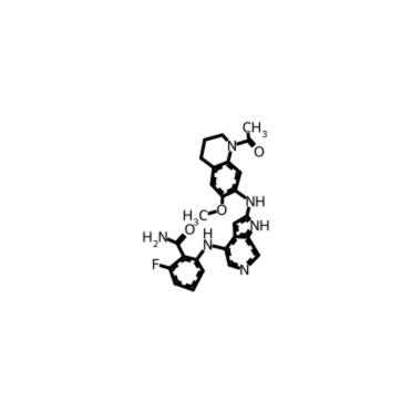 COc1cc2c(cc1Nc1cc3c(Nc4cccc(F)c4C(N)=O)cncc3[nH]1)N(C(C)=O)CCC2